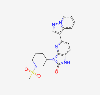 CS(=O)(=O)N1CCCC(n2c(=O)[nH]c3ccc(-c4cnn5ccccc45)nc32)C1